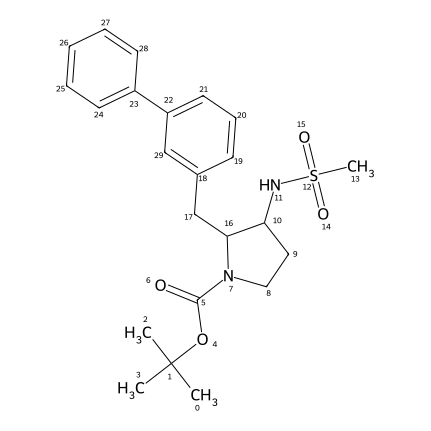 CC(C)(C)OC(=O)N1CCC(NS(C)(=O)=O)C1Cc1cccc(-c2ccccc2)c1